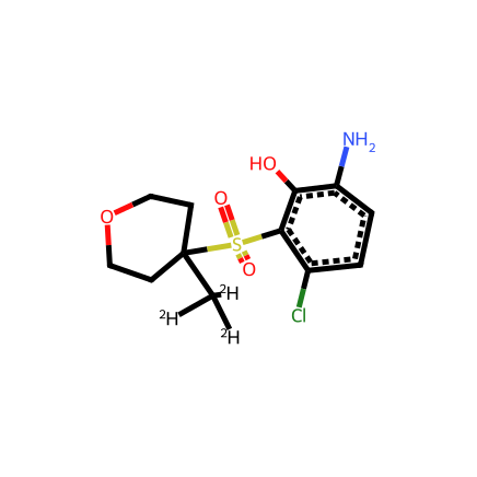 [2H]C([2H])([2H])C1(S(=O)(=O)c2c(Cl)ccc(N)c2O)CCOCC1